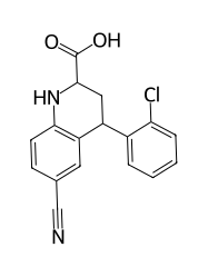 N#Cc1ccc2c(c1)C(c1ccccc1Cl)CC(C(=O)O)N2